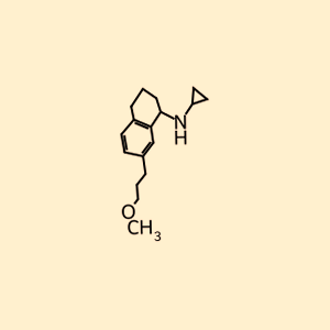 COCCCc1ccc2c(c1)C(NC1CC1)CCC2